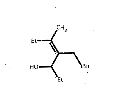 CC/C(C)=C(/CC(C)CC)C(O)CC